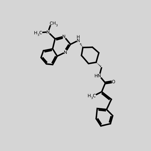 C/C(=C\c1ccccc1)C(=O)NC[C@H]1CC[C@@H](Nc2nc(N(C)C)c3ccccc3n2)CC1